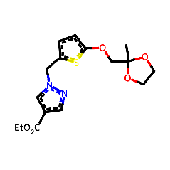 CCOC(=O)c1cnn(Cc2ccc(OCC3(C)OCCO3)s2)c1